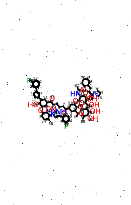 CCC1CC(C(=O)CCCCC(=O)C2CC(C3C=CC(c4cccc(F)c4)=C3)C(O)[C@H](O[C@@H]3CC[C@H](C)C(N4C=C(c5cccc(F)c5)NN4)[C@@H]3O)C2)C[C@@H](O[C@@H]2OC(CO)[C@@H](O)[C@H](O[C@@H](CC3CCCCC3)C(=O)N3CCC3)C2NC(C)=O)[C@H]1O[C@@H]1OC(C)[C@@H](O)C(O)[C@@H]1C